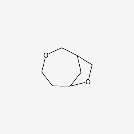 C1CC2CC(CO1)CO2